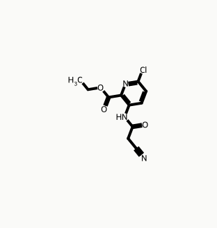 CCOC(=O)c1nc(Cl)ccc1NC(=O)CC#N